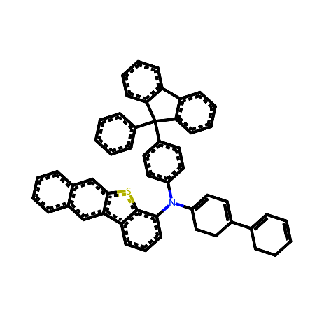 C1=CCCC(C2=CC=C(N(c3ccc(C4(c5ccccc5)c5ccccc5-c5ccccc54)cc3)c3cccc4c3sc3cc5ccccc5cc34)CC2)=C1